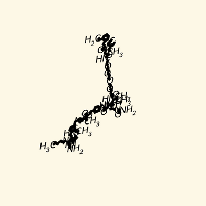 C=Cc1ccccc1CN(C(=O)CCC(=O)NCCOCCOCCOCCOCCC(=O)N[C@H](C(=O)N[C@@H](CCCNC(N)=O)C(=O)Nc1ccc(COC(=O)N(C)C2CN(Cc3ccc(Cn4ccc5nc(N)nc(NCCCCC)c54)c(OC)c3)C2)cc1)C(C)C)c1ccccc1CC